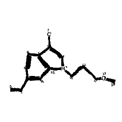 CCc1ccc2c(Cl)cn(CCCOC)c2c1